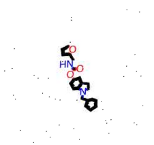 O=C(NCc1ccco1)Oc1ccc2c(c1)CCN2Cc1ccccc1